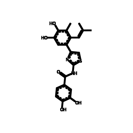 CC(C)=Cc1c(-c2csc(NC(=O)c3ccc(O)c(O)c3)n2)cc(O)c(O)c1C